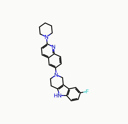 Fc1ccc2[nH]c3c(c2c1)CN(c1ccc2nc(N4CCCCC4)ccc2c1)CC3